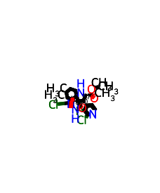 CC1(C)CCC2(CC1)N[C@@H](C(=O)OC(C)(C)C)[C@H](c1ccnc(Cl)c1F)[C@]21C(=O)Nc2cc(Cl)ncc21